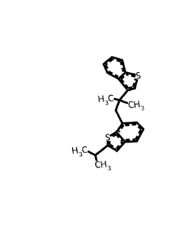 CC(C)c1cc2cccc(CC(C)(C)c3csc4ccccc34)c2s1